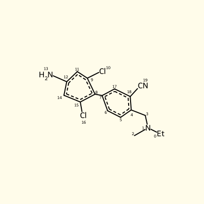 CCN(C)Cc1ccc(-c2c(Cl)cc(N)cc2Cl)cc1C#N